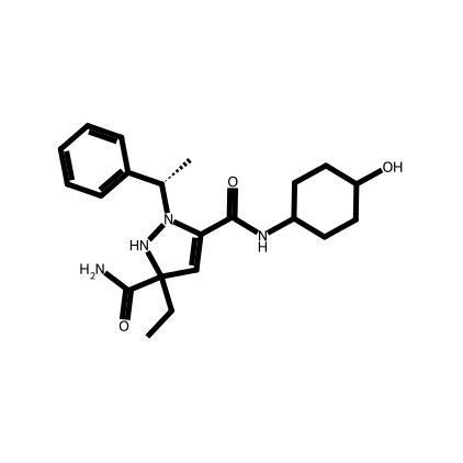 CCC1(C(N)=O)C=C(C(=O)NC2CCC(O)CC2)N([C@@H](C)c2ccccc2)N1